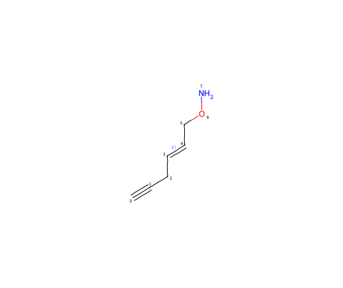 C#CC/C=C/CON